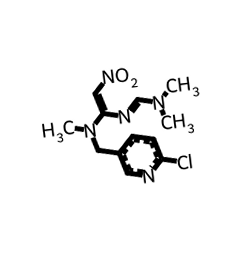 CN(C)C=NC(=C[N+](=O)[O-])N(C)Cc1ccc(Cl)nc1